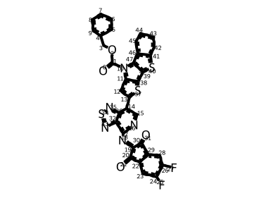 O=C(OCc1ccccc1)n1c2cc(-c3cnc(N=c4c(=O)c5cc(F)c(F)cc5c4=O)c4nsnc34)sc2c2sc3ccccc3c21